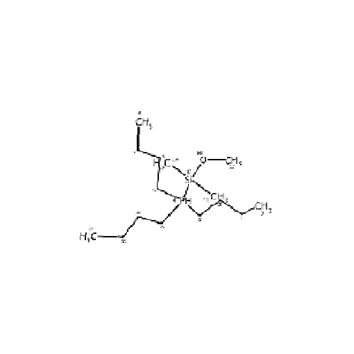 CCCC[PH](CCCC)(CCCC)[Si](C)(C)OC